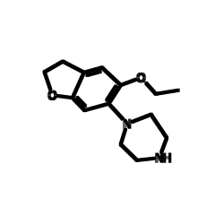 CCOc1cc2c(cc1N1CCNCC1)OCC2